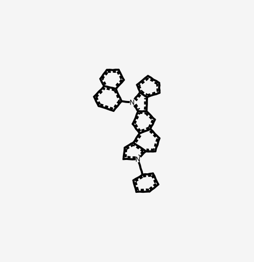 c1ccc(-n2ccc3c4cc5c(cc4ccc32)c2ccccc2n5-c2cccc3ccccc23)cc1